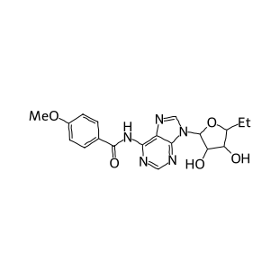 CCC1OC(n2cnc3c(NC(=O)c4ccc(OC)cc4)ncnc32)C(O)C1O